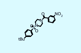 CC(C)(C)c1ccc(S(=O)(=O)N2CCN(C(=O)c3cccc([N+](=O)[O-])c3)CC2)cc1